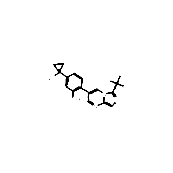 COc1cc(C2(C#N)CC2)ccc1-c1cnc2cnc(C(C)(F)F)n2c1